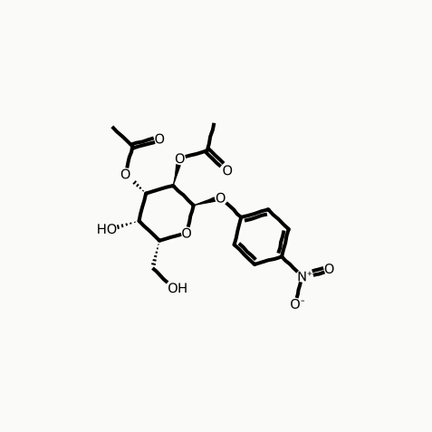 CC(=O)O[C@H]1[C@@H](Oc2ccc([N+](=O)[O-])cc2)O[C@H](CO)[C@H](O)[C@@H]1OC(C)=O